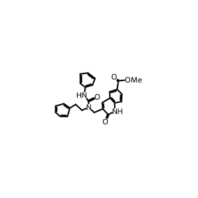 COC(=O)c1ccc2[nH]c(=O)c(CN(CCc3ccccc3)C(=O)Nc3ccccc3)cc2c1